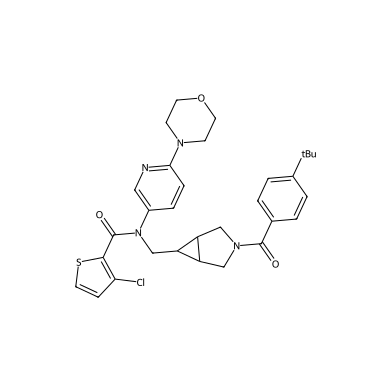 CC(C)(C)c1ccc(C(=O)N2CC3C(C2)C3CN(C(=O)c2sccc2Cl)c2ccc(N3CCOCC3)nc2)cc1